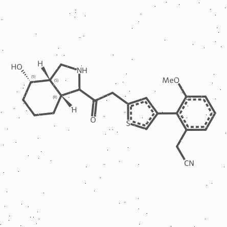 COc1cccc(CC#N)c1-c1csc(CC(=O)C2NC[C@H]3[C@@H](O)CCC[C@@H]23)c1